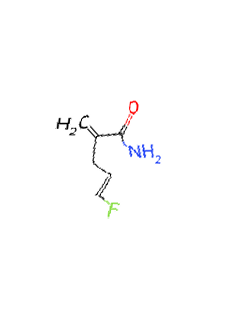 C=C(CC=CF)C(N)=O